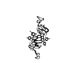 Cc1ccc(Oc2cc3c4c(cc(Oc5ccc(C)cc5C)c5c6c(Oc7ccc(C)cc7C)cc7c8c(cc(Oc9ccc(C)cc9C)c(c2c45)c86)C(=O)N(C(C(=O)NCCOC2CCO2)c2ccccn2)C7=O)C(=O)N(C(C(=O)NCCOC2CCO2)c2ccccn2)C3=O)c(C)c1